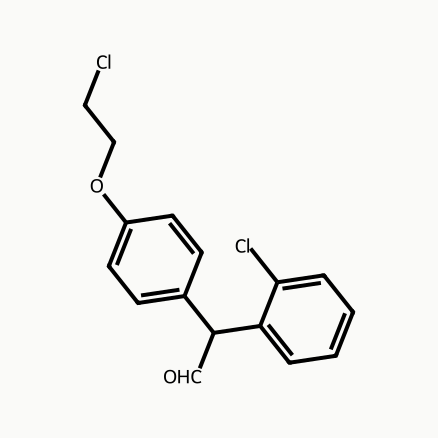 O=CC(c1ccc(OCCCl)cc1)c1ccccc1Cl